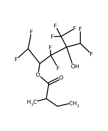 CCC(C)C(=O)OC(C(F)F)C(F)(F)C(O)(C(F)F)C(F)(F)F